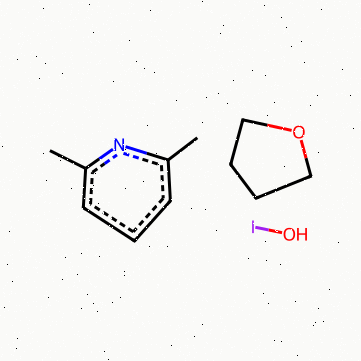 C1CCOC1.Cc1cccc(C)n1.OI